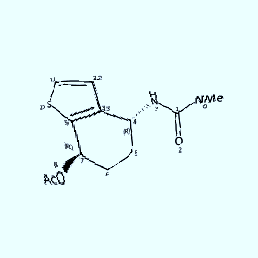 CNC(=O)N[C@@H]1CC[C@@H](OC(C)=O)c2sccc21